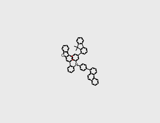 CC1(C)c2ccccc2-c2cccc(-c3cccc(N(c4ccc(-c5cccc6c5ccc5ccccc56)cc4)c4ccccc4-c4ccc5c(c4)oc4ccccc45)c3)c21